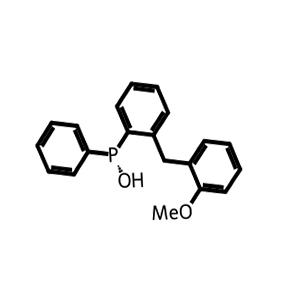 COc1ccccc1Cc1ccccc1[P@](O)c1ccccc1